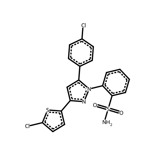 NS(=O)(=O)c1ccccc1-n1nc(-c2ccc(Cl)s2)cc1-c1ccc(Cl)cc1